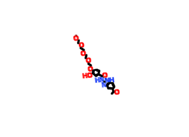 COCCOCCOCCOCCOc1ccc(C(=O)Nc2nc3cc(C(C)=O)ccc3[nH]2)cc1O